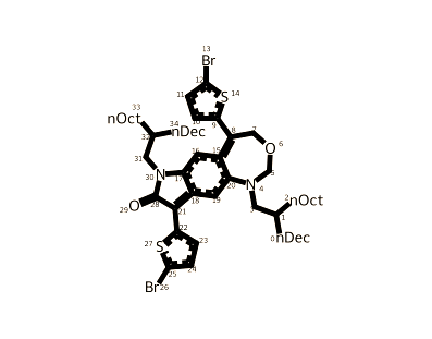 CCCCCCCCCCC(CCCCCCCC)CN1COCC(c2ccc(Br)s2)=c2cc3c(cc21)=C(c1ccc(Br)s1)C(=O)N3CC(CCCCCCCC)CCCCCCCCCC